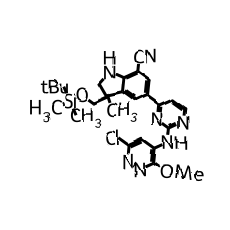 COc1nnc(Cl)cc1Nc1nccc(-c2cc(C#N)c3c(c2)C(C)(CO[Si](C)(C)C(C)(C)C)CN3)n1